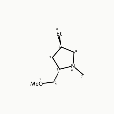 CC[C@@H]1C[C@@H](COC)N(C)C1